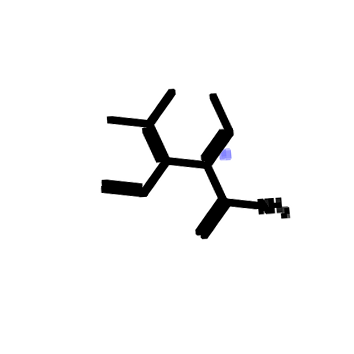 C=CC(=C(C)C)/C(=C\C)C(=C)N